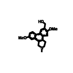 COc1ccc2c(c1)c1c(c3cc(OC)c(CO)cc32)CCN(C)C1